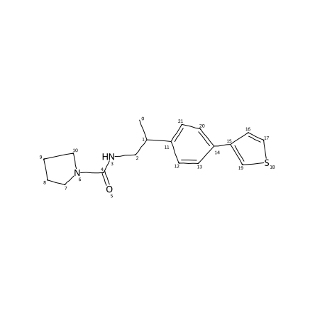 CC(CNC(=O)N1CCCC1)c1ccc(-c2ccsc2)cc1